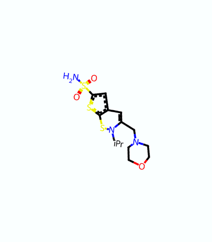 CC(C)N1Sc2sc(S(N)(=O)=O)cc2C=C1CN1CCOCC1